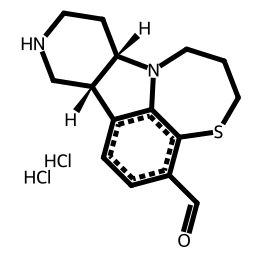 Cl.Cl.O=Cc1ccc2c3c1SCCCN3[C@H]1CCNC[C@@H]21